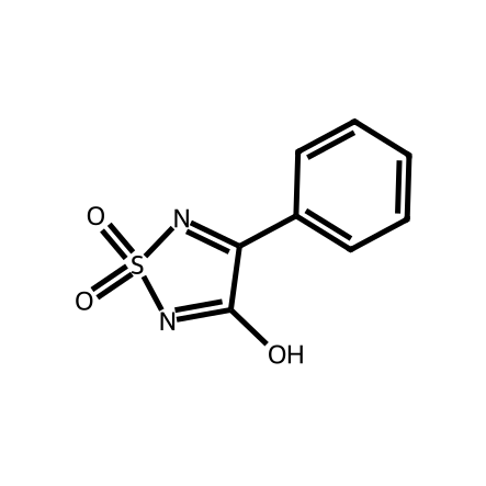 O=S1(=O)N=C(O)C(c2ccccc2)=N1